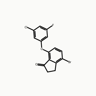 O=C1CCc2c(Br)ccc(Oc3cc(F)cc(Cl)c3)c21